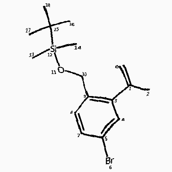 C=C(C)c1cc(Br)ccc1CO[Si](C)(C)C(C)(C)C